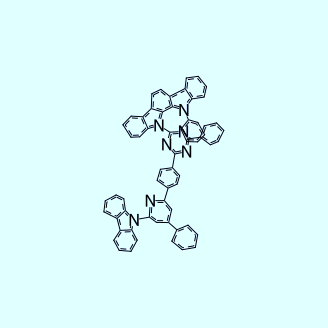 c1ccc(-c2cc(-c3ccc(-c4nc(-c5ccccc5)nc(-n5c6ccccc6c6ccc7c8ccccc8n(-c8ccccc8)c7c65)n4)cc3)nc(-n3c4ccccc4c4ccccc43)c2)cc1